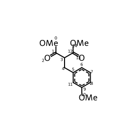 COC(=O)C(Cc1cc[c]c(OC)c1)C(=O)OC